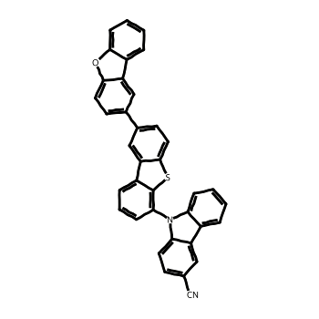 N#Cc1ccc2c(c1)c1ccccc1n2-c1cccc2c1sc1ccc(-c3ccc4oc5ccccc5c4c3)cc12